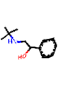 CC(C)(C)NCC(O)c1c[c]c[c]c1